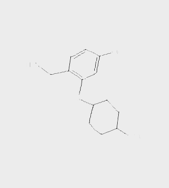 CC(C)(C)C1CCC(Sc2cc(C(F)(F)F)ccc2CN)CC1